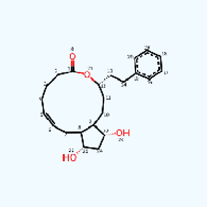 O=C1CCC/C=C\CC2C(CC[C@@H](CCc3ccccc3)O1)[C@H](O)C[C@@H]2O